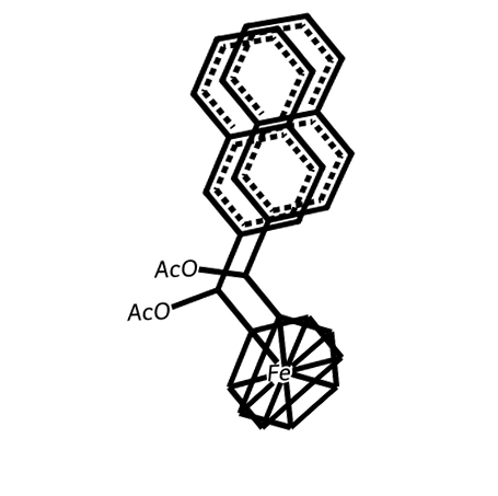 CC(=O)OC(c1ccc2ccccc2c1)[C]12[CH]3[CH]4[CH]5[CH]1[Fe]45321678[CH]2[CH]1[CH]6[C]7(C(OC(C)=O)c1ccc3ccccc3c1)[CH]28